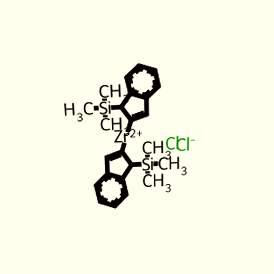 C[Si](C)(C)C1[C]([Zr+2][C]2=Cc3ccccc3C2[Si](C)(C)C)=Cc2ccccc21.[Cl-].[Cl-]